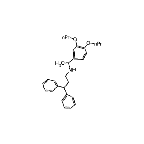 CCCOc1ccc(C(C)NCCC(c2ccccc2)c2ccccc2)cc1OCCC